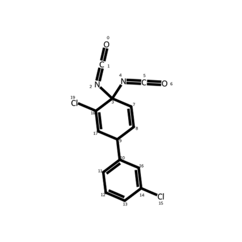 O=C=NC1(N=C=O)C=CC(c2cccc(Cl)c2)C=C1Cl